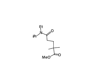 CCN(C(=O)CCC(C)(C)C(=O)OC)C(C)C